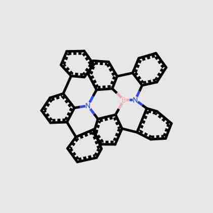 c1ccc(-c2cccc(-c3ccccc3)c2N2c3cccc4c3B3c5c(cccc52)-c2ccccc2N3c2ccccc2-4)cc1